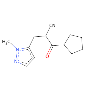 Cn1nccc1CC(C#N)C(=O)C1CCCC1